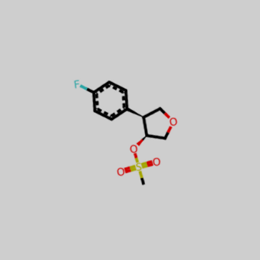 CS(=O)(=O)O[C@@H]1COC[C@@H]1c1ccc(F)cc1